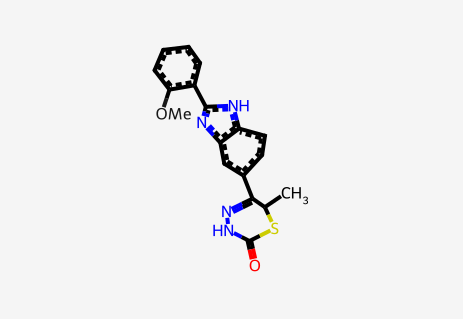 COc1ccccc1-c1nc2cc(C3=NNC(=O)SC3C)ccc2[nH]1